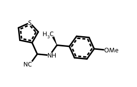 COc1ccc([C@H](C)NC(C#N)c2ccsc2)cc1